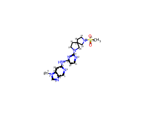 CC(C)n1cnc2cnc(Nc3ccnc(N4CCC5(CCN(S(C)(=O)=O)C5)C4)n3)cc21